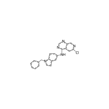 Clc1cc2c(Nc3ccc4c(ccn4Cc4ccccc4)c3)ncnc2cn1